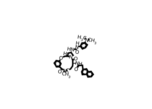 CN1CCC[C@H](NC(=O)Cc2ccc3ccccc3c2)C(=O)N2C[C@@H](NC(=O)Nc3cccc(N(C)C)c3)C[C@H]2COc2cccc(c2)C1=O